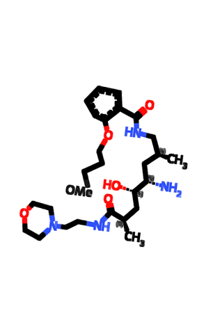 COCCCOc1ccccc1C(=O)NC[C@@H](C)C[C@H](N)[C@@H](O)C[C@@H](C)C(=O)NCCN1CCOCC1